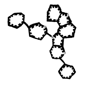 c1ccc(-c2ccc(-n3c4ccc(-c5ccccc5)nc4c4ccc5sc6ccccc6c5c43)nc2)cc1